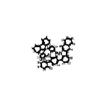 c1ccc2c(c1)-c1ccccc1C21c2ccccc2N2c3c(cccc31)B1c3c(cc4sc5ccccc5c4c32)-c2cccc3c4cc5ccccc5cc4n1c23